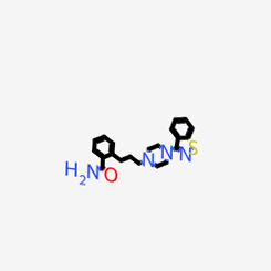 NC(=O)c1ccccc1CCCN1CCN(c2nsc3ccccc23)CC1